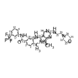 Cc1ccc(C(=O)Nc2cccc(C(F)(F)F)c2)cc1Nc1nn(C)c2nc(NCCN3CCOCC3)ncc12